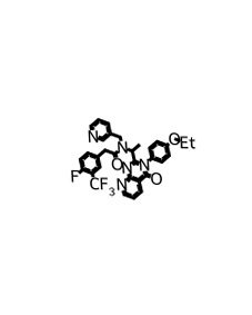 CCOc1ccc(-n2c(C(C)N(Cc3cccnc3)C(=O)Cc3ccc(F)c(C(F)(F)F)c3)nc3ncccc3c2=O)cc1